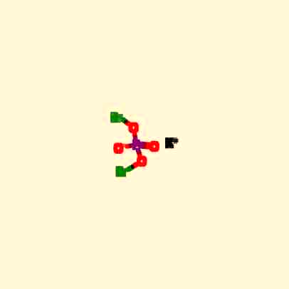 O=P([O-])(OBr)OBr.[K+]